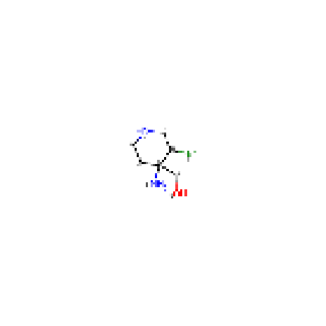 NC1(CO)CCNCC1Br